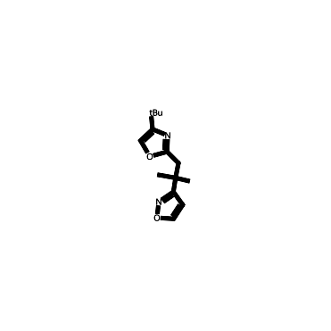 CC(C)(C)c1coc(CC(C)(C)c2ccon2)n1